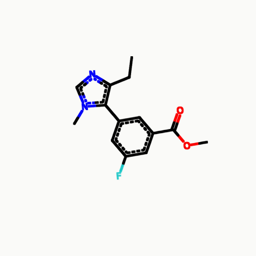 CCc1ncn(C)c1-c1cc(F)cc(C(=O)OC)c1